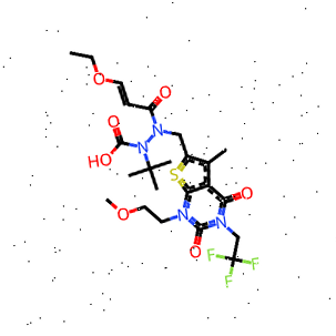 CCOC=CC(=O)N(Cc1sc2c(c1C)c(=O)n(CC(F)(F)F)c(=O)n2CCOC)N(C(=O)O)C(C)(C)C